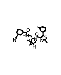 Cc1cccc(-c2sc(C)nc2C(=O)N2C[C@@H]3C[C@@H]3[C@H]2CNC(=O)c2cccc(C#N)c2)c1